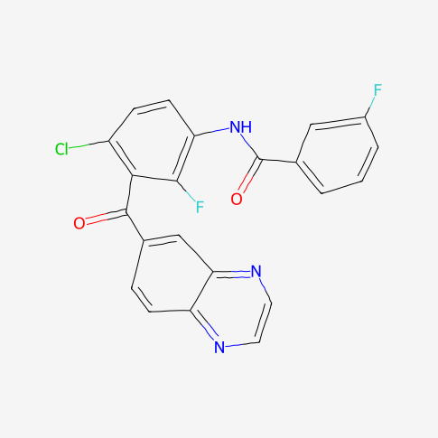 O=C(Nc1ccc(Cl)c(C(=O)c2ccc3nccnc3c2)c1F)c1cccc(F)c1